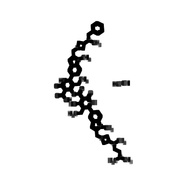 CCc1c(-c2ccc3c(c2)cc(CN2CC(N(C)CCN(C)C)C2)n3C)[nH]c(=O)c(C(=O)Oc2c(CC)c(-c3ccc4c(c3)cc(CN3CC(N(C)Cc5ccccc5)C3)n4C)[nH]c(=O)c2C(=O)O)c1O.Cl.Cl